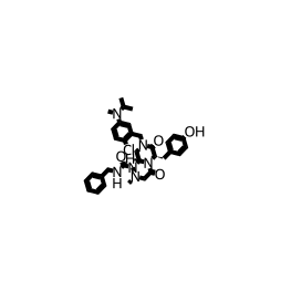 CC(C)N(C)c1ccc(Cl)c(CN2C[C@@H]3N(C(=O)CN(C)N3C(=O)NCc3ccccc3)[C@@H](Cc3ccc(O)cc3)C2=O)c1